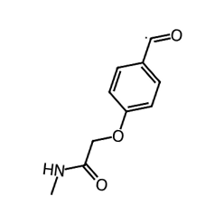 CNC(=O)COc1ccc([C]=O)cc1